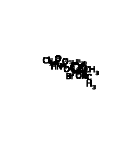 CC=C(C)[C@@]1(O)[C@H](Br)[C@H](OC(=O)NC(=O)CCl)CC[C@]12CO2